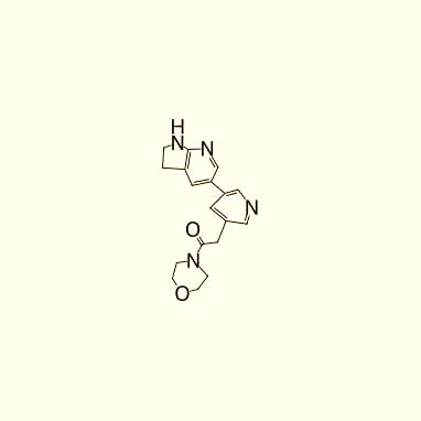 O=C(Cc1cncc(-c2cnc3c(c2)CCN3)c1)N1CCOCC1